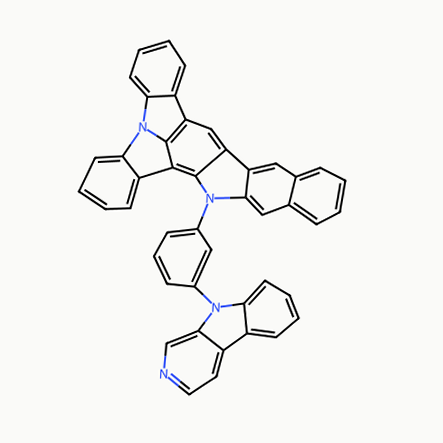 c1cc(-n2c3ccccc3c3ccncc32)cc(-n2c3cc4ccccc4cc3c3cc4c5ccccc5n5c6ccccc6c(c32)c45)c1